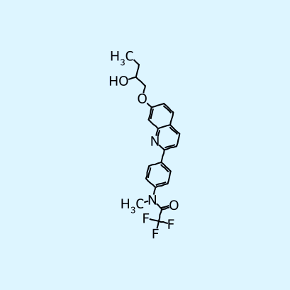 CCC(O)COc1ccc2ccc(-c3ccc(N(C)C(=O)C(F)(F)F)cc3)nc2c1